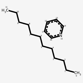 CCCCCCCCCCCC.c1ccncc1